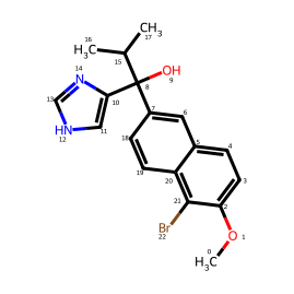 COc1ccc2cc(C(O)(c3c[nH]cn3)C(C)C)ccc2c1Br